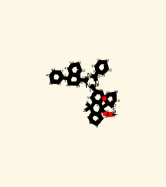 CC1(C)c2ccccc2C2(c3ccccc3Sc3ccccc32)c2ccc(-c3nc(-c4ccccc4)nc(-c4ccc(-c5ccccc5)c5ccccc45)n3)cc21